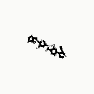 C#Cc1cnccc1-c1cc(Cl)c(C(=O)Nc2cnc(-n3cc4c(n3)CCC4)c(Cl)c2)cc1F